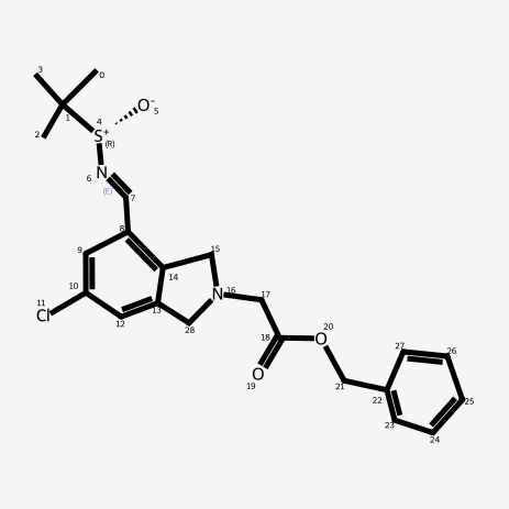 CC(C)(C)[S@+]([O-])/N=C/c1cc(Cl)cc2c1CN(CC(=O)OCc1ccccc1)C2